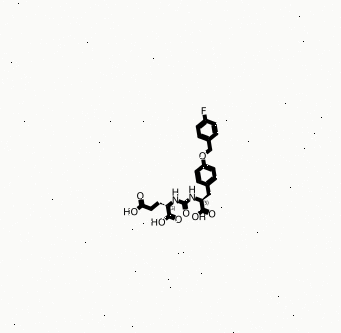 O=C(O)CC[C@H](NC(=O)N[C@@H](Cc1ccc(OCc2ccc(F)cc2)cc1)C(=O)O)C(=O)O